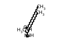 CCCCCCCCCCCCCCCCCC(=O)NC(C)CC(CCCCCCCCCCCCCCCC)C1=NCCN1